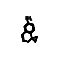 Nc1ccc2c(c1)C=NCC21CC1